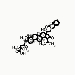 CC(=O)N(Cc1ccccc1)CC(O)C12CC[C@]3(C)[C@H](CC[C@@H]4[C@@]5(C)CC[C@H](OC(=O)CC(C)(C)C(=O)O)C(C)(C)[C@H]5CC[C@]43C)C1=C(C(C)C)C(=O)C2